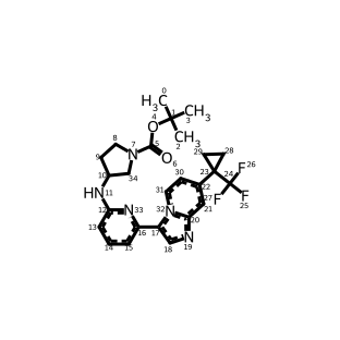 CC(C)(C)OC(=O)N1CCC(Nc2cccc(-c3cnc4cc(C5(C(F)(F)F)CC5)ccn34)n2)C1